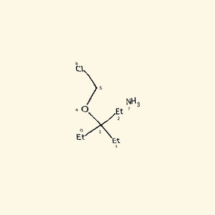 CCC(CC)(CC)OCCl.N